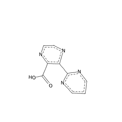 O=C(O)c1nccnc1-c1ncccn1